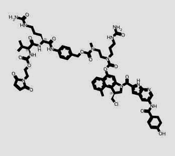 Cc1cccc2c(OC(=O)N(CCCNC(N)=O)CCN(C)C(=O)OCc3ccc(NC(=O)[C@H](CCCNC(N)=O)NC(=O)[C@@H](NC(=O)OCCN4C(=O)C=CC4=O)C(C)C)cc3)cc3c(c12)[C@H](CCl)CN3C(=O)c1cc2cc(NC(=O)C3=CC=C(O)CC3)cnc2[nH]1